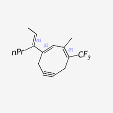 C/C=C(CCC)/C1=C/C(C)=C(/C(F)(F)F)CC#CC1